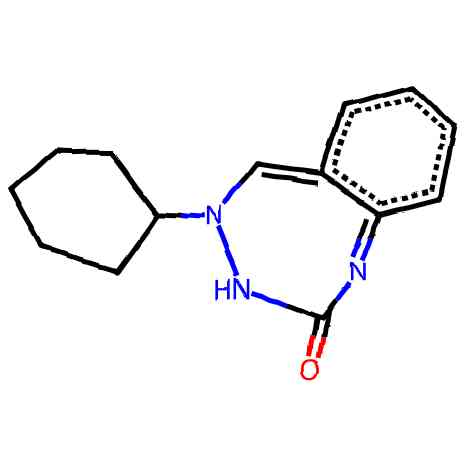 O=C1N=c2ccccc2=CN(C2CCCCC2)N1